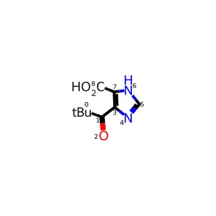 CC(C)(C)C(=O)c1nc[nH]c1C(=O)O